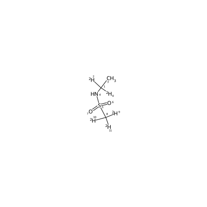 [2H]C([2H])(C)NS(=O)(=O)C([2H])([2H])[2H]